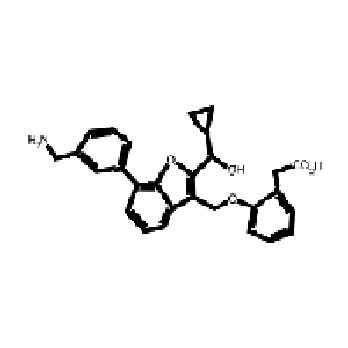 NCc1cccc(-c2cccc3c(COc4ccccc4CC(=O)O)c(C(O)C4CC4)oc23)c1